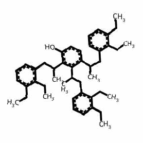 CCc1cccc(CC(C)c2ccc(O)c(C(C)Cc3cccc(CC)c3CC)c2C(C)Cc2cccc(CC)c2CC)c1CC